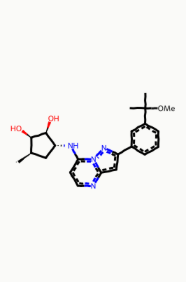 [CH2][C@@H]1C[C@@H](Nc2ccnc3cc(-c4cccc(C(C)(C)OC)c4)nn23)[C@H](O)[C@@H]1O